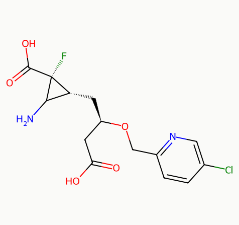 NC1[C@@H](C[C@H](CC(=O)O)OCc2ccc(Cl)cn2)[C@]1(F)C(=O)O